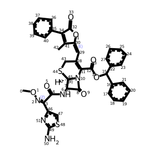 CO/N=C(\C(=O)N[C@@H]1C(=O)N2C(C(=O)OC(c3ccccc3)c3ccccc3)=C(/C=C3/OC(=O)C(c4ccccc4)=C3C)CS[C@H]12)c1csc(N)n1